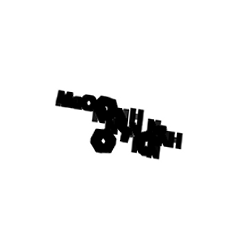 COc1ccc2nc(C(C)Nc3ncnc4[nH]cnc34)n(-c3ccccc3)c2n1